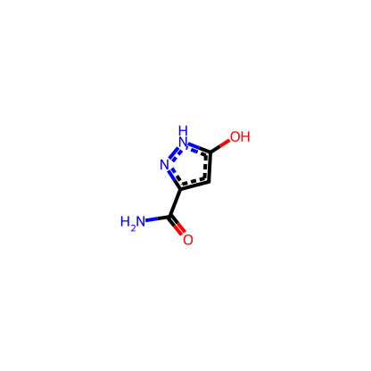 NC(=O)c1cc(O)[nH]n1